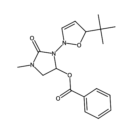 CN1CC(OC(=O)c2ccccc2)N(N2C=CC(C(C)(C)C)O2)C1=O